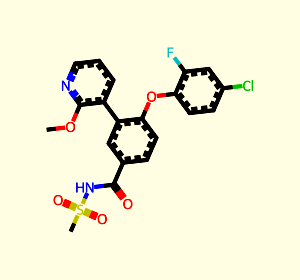 COc1ncccc1-c1cc(C(=O)NS(C)(=O)=O)ccc1Oc1ccc(Cl)cc1F